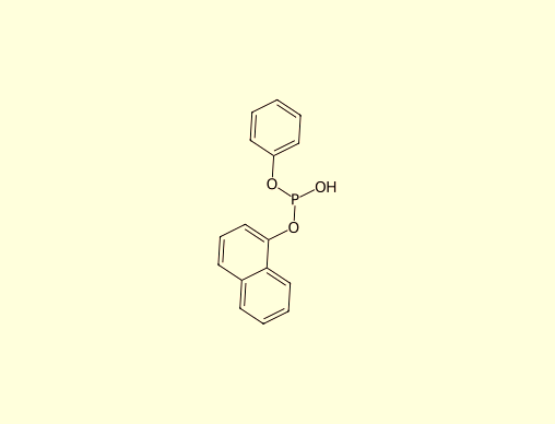 OP(Oc1ccccc1)Oc1cccc2ccccc12